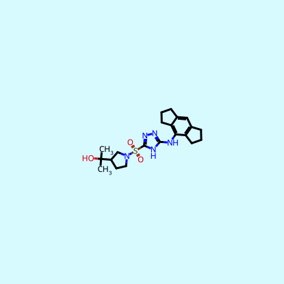 CC(C)(O)C1CCN(S(=O)(=O)c2nnc(Nc3c4c(cc5c3CCC5)CCC4)[nH]2)C1